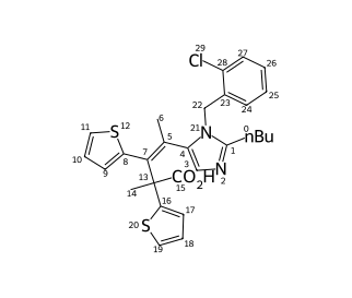 CCCCc1ncc(C(C)=C(c2cccs2)C(C)(C(=O)O)c2cccs2)n1Cc1ccccc1Cl